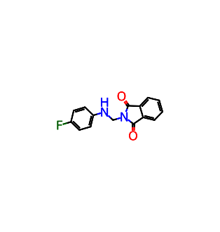 O=C1c2ccccc2C(=O)N1CNc1ccc(F)cc1